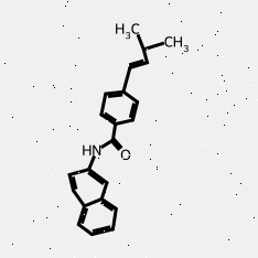 CC(C)/C=C/c1ccc(C(=O)Nc2ccc3ccccc3c2)cc1